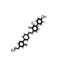 CCOCc1ccc(C2=CCC(CCc3ccc(-c4ccc(O)cc4)c(F)c3F)CC2)c(F)c1